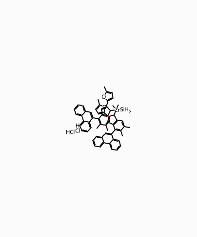 Cc1ccc(C2=Cc3c(cc(C)c(C)c3-c3cc4ccccc4c4ccccc34)[CH]2[Zr]([CH3])([CH3])(=[SiH2])[CH]2C(c3ccc(C)o3)=Cc3c2cc(C)c(C)c3-c2cc3ccccc3c3ccccc23)o1.Cl.Cl